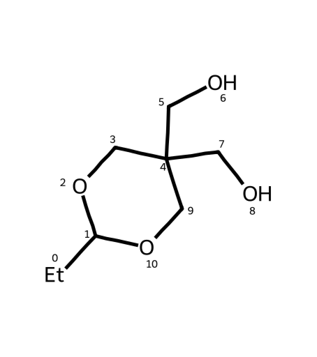 CCC1OCC(CO)(CO)CO1